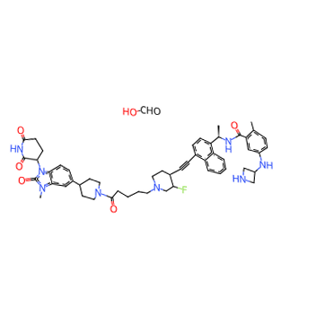 Cc1ccc(NC2CNC2)cc1C(=O)N[C@H](C)c1ccc(C#CC2CCN(CCCCC(=O)N3CCC(c4ccc5c(c4)n(C)c(=O)n5C4CCC(=O)NC4=O)CC3)CC2F)c2ccccc12.O=CO